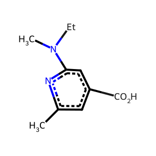 CCN(C)c1cc(C(=O)O)cc(C)n1